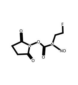 O=NN(CCF)C(=O)ON1C(=O)CCC1=O